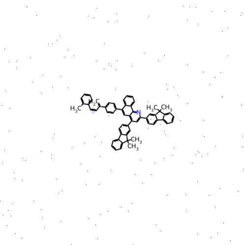 C=C(/C=C\c1ccccc1C)c1ccc(-c2cc3c(-c4ccc5c(c4)C(C)(C)c4ccccc4-5)cc(-c4ccc5c(c4)C(C)(C)c4ccccc4-5)nc3c3ccccc23)cc1